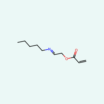 C=CC(=O)OCC=NCCCCC